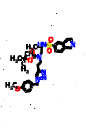 COc1ccc(Cn2cc(CCN(C[C@@H](C)NS(=O)(=O)c3ccc4cnccc4c3)C(=O)OC(C)(C)C)nn2)cc1